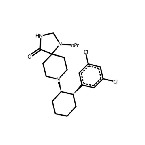 CCCN1CNC(=O)C12CCN([C@@H]1CCCC[C@@H]1c1cc(Cl)cc(Cl)c1)CC2